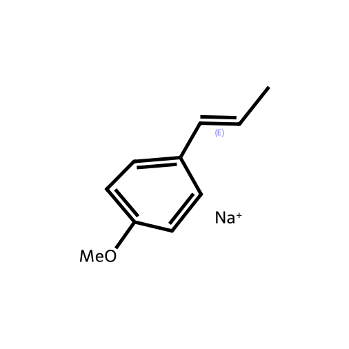 C/C=C/c1ccc(OC)cc1.[Na+]